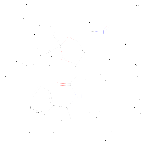 CC(NC(=O)C[C@H]1C[C@@H](CN=O)OC(C)(C)O1)c1ccccc1